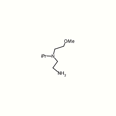 COCCN(CCN)C(C)C